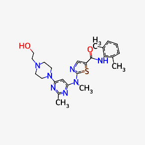 Cc1nc(N2CCN(CCO)CC2)cc(N(C)c2ncc(C(=O)Nc3c(C)cccc3C)s2)n1